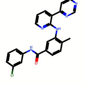 Cc1ccc(C(=O)Nc2cccc(Cl)c2)cc1Nc1ncccc1-c1ccncn1